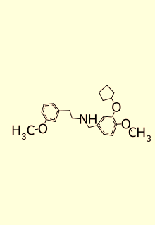 COc1cccc(CCNCc2ccc(OC)c(OC3CCCC3)c2)c1